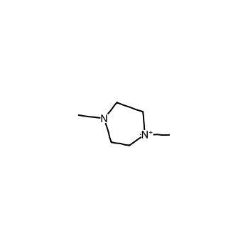 CN1CC[N+](C)CC1